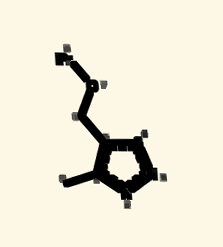 Cc1nnsc1COC(C)C